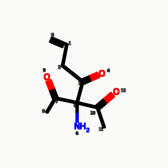 C=CCC(=O)C(N)(C(C)=O)C(C)=O